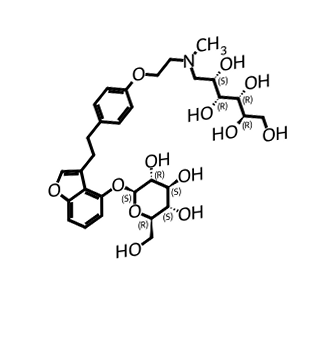 CN(CCOc1ccc(CCc2coc3cccc(O[C@@H]4O[C@H](CO)[C@@H](O)[C@H](O)[C@H]4O)c23)cc1)C[C@H](O)[C@@H](O)[C@H](O)[C@H](O)CO